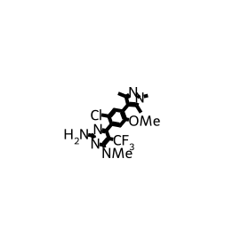 CNc1nc(N)nc(-c2cc(OC)c(-c3c(C)nn(C)c3C)cc2Cl)c1C(F)(F)F